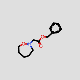 O=C(CN1CCCCCO1)OCc1ccccc1